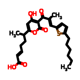 CCCCCCc1ccc(C=C(C)C(=O)c2c(O)cc(C(C)CC/C=C/C(=O)O)oc2=O)s1